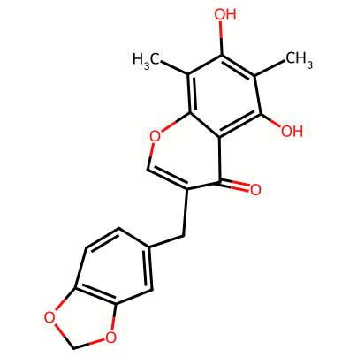 Cc1c(O)c(C)c2occ(Cc3ccc4c(c3)OCO4)c(=O)c2c1O